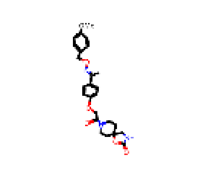 COc1ccc(CON=C(C)c2ccc(OCC(=O)N3CCC4(CC3)CNC(=O)O4)cc2)cc1